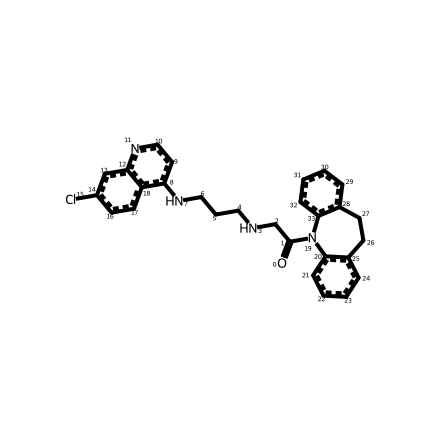 O=C(CNCCCNc1ccnc2cc(Cl)ccc12)N1c2ccccc2CCc2ccccc21